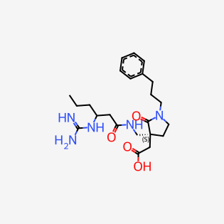 CCCC(CC(=O)NC[C@@]1(CC(=O)O)CCN(CCCc2ccccc2)C1=O)NC(=N)N